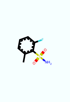 Cc1cccc(F)c1S(N)(=O)=O